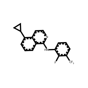 Fc1c(Nc2nc[c]c3c(C4CC4)cccc23)cccc1C(F)(F)F